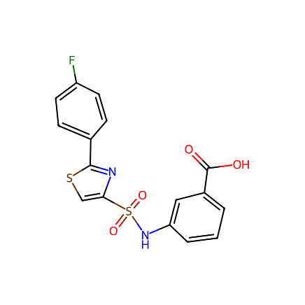 O=C(O)c1cccc(NS(=O)(=O)c2csc(-c3ccc(F)cc3)n2)c1